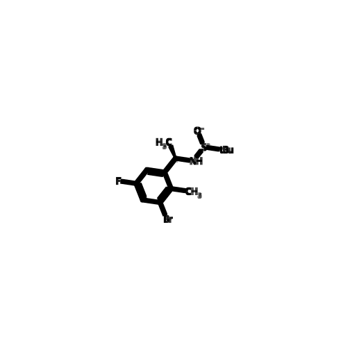 Cc1c(Br)cc(F)cc1[C@@H](C)N[S+]([O-])C(C)(C)C